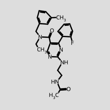 CCN(Cc1cccc(C)c1)C(=O)c1cnc(NCCNC(C)=O)nc1-c1ccccc1F